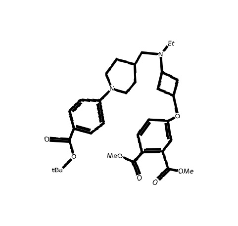 CCN(CC1CCN(c2ccc(C(=O)OC(C)(C)C)cc2)CC1)C1CC(Oc2ccc(C(=O)OC)c(C(=O)OC)c2)C1